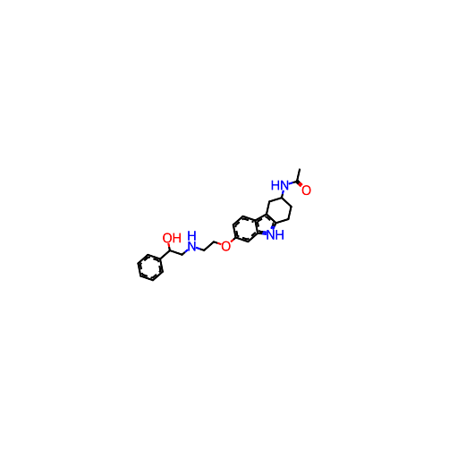 CC(=O)NC1CCc2[nH]c3cc(OCCNCC(O)c4ccccc4)ccc3c2C1